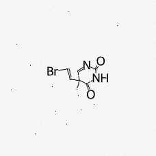 CC1(C=CBr)C=NC(=O)NC1=O